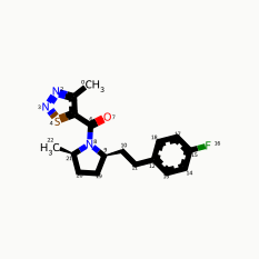 Cc1nnsc1C(=O)N1[C@@H](CCc2ccc(F)cc2)CC[C@H]1C